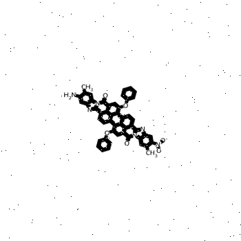 Cc1cc2c(cc1N)nc1c3ccc4c5c(Oc6ccccc6)cc6c(=O)n7c8cc(C)c([N+](=O)[O-])cc8nc7c7ccc(c8c(Oc9ccccc9)cc(c(=O)n21)c3c48)c5c67